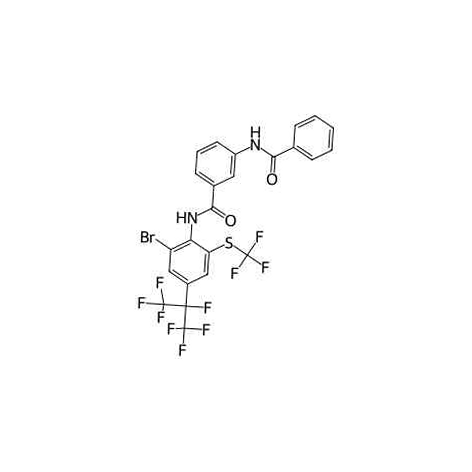 O=C(Nc1cccc(C(=O)Nc2c(Br)cc(C(F)(C(F)(F)F)C(F)(F)F)cc2SC(F)(F)F)c1)c1ccccc1